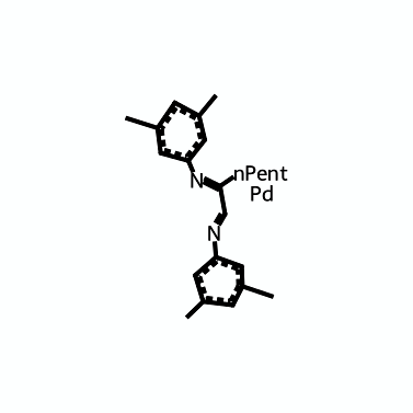 CCCCCC(C=Nc1cc(C)cc(C)c1)=Nc1cc(C)cc(C)c1.[Pd]